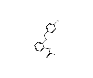 CC(=O)Nc1ccccc1OCc1ccc(Cl)cc1